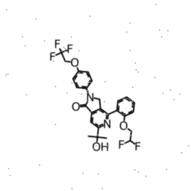 CC(C)(O)c1cc2c(c(-c3ccccc3OCC(F)F)n1)CN(c1ccc(OCC(F)(F)F)cc1)C2=O